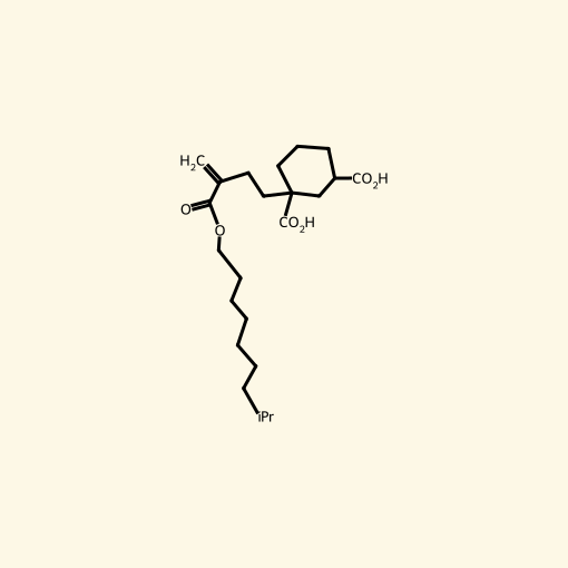 C=C(CCC1(C(=O)O)CCCC(C(=O)O)C1)C(=O)OCCCCCCCC(C)C